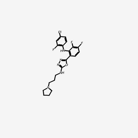 CCc1ccc(Nc2c(-c3nnc(NCCCN4CCCC4)o3)ccc(F)c2F)c(F)c1